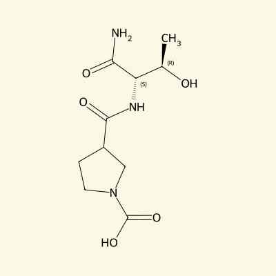 C[C@@H](O)[C@H](NC(=O)C1CCN(C(=O)O)C1)C(N)=O